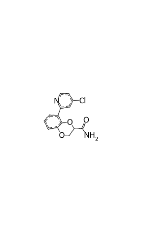 NC(=O)C1COc2cccc(-c3cc(Cl)ccn3)c2O1